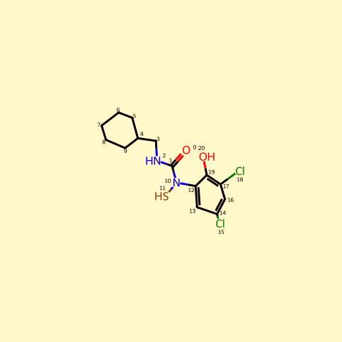 O=C(NCC1CCCCC1)N(S)c1cc(Cl)cc(Cl)c1O